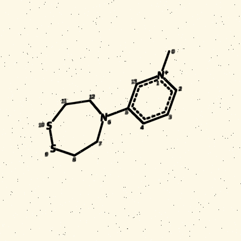 C[n+]1cccc(N2CCSSCC2)c1